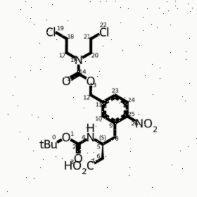 CC(C)(C)OC(=O)N[C@H](CC(=O)O)Cc1cc(COC(=O)N(CCCl)CCCl)ccc1[N+](=O)[O-]